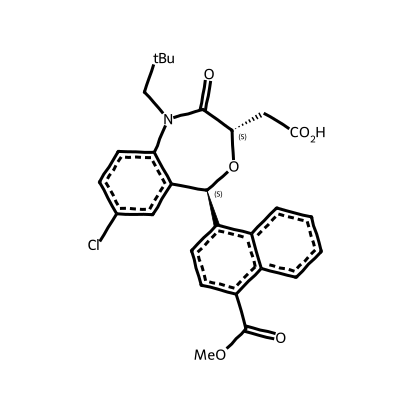 COC(=O)c1ccc([C@@H]2O[C@@H](CC(=O)O)C(=O)N(CC(C)(C)C)c3ccc(Cl)cc32)c2ccccc12